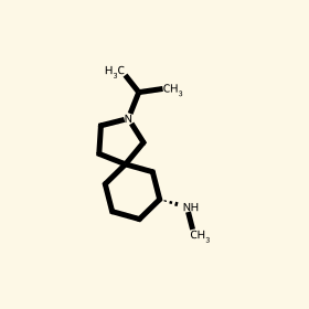 CN[C@@H]1CCCC2(CCN(C(C)C)C2)C1